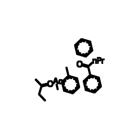 CC(C)=O.CCC(C)=O.CCCC(=O)c1ccccc1.Cc1ccccc1.c1ccccc1